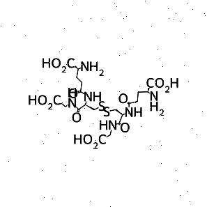 N[C@@H](CCC(=O)N[C@@H](CSSC[C@@H](NC(=O)CC[C@H](N)C(=O)O)C(=O)NCC(=O)O)C(=O)NCC(=O)O)C(=O)O